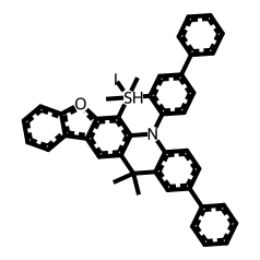 CC1(C)c2cc(-c3ccccc3)ccc2N2c3ccc(-c4ccccc4)cc3[SH](C)(C)(I)c3c2c1cc1c3oc2ccccc21